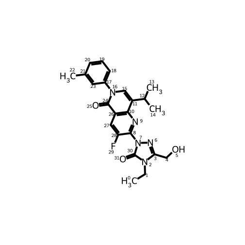 CCn1c(CO)nn(-c2nc3c(C(C)C)cn(-c4cccc(C)c4)c(=O)c3cc2F)c1=O